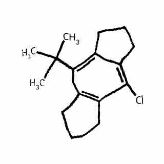 CC(C)(C)c1c2c(c(Cl)c3c1CCC3)CCC2